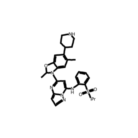 Cc1cc2c(cc1C1CCNCC1)OC(C)N2c1cc(Nc2ccccc2S(=O)(=O)C(C)C)n2nccc2n1